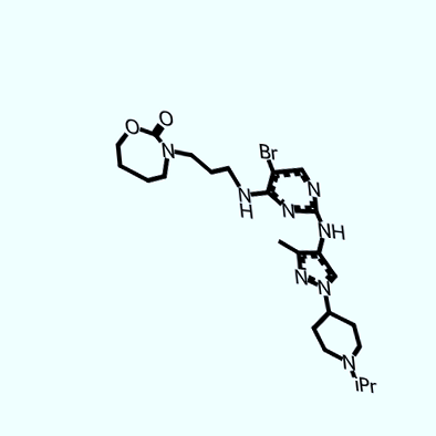 Cc1nn(C2CCN(C(C)C)CC2)cc1Nc1ncc(Br)c(NCCCN2CCCCOC2=O)n1